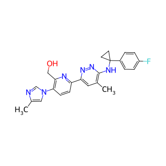 Cc1cn(-c2ccc(-c3cc(C)c(NC4(c5ccc(F)cc5)CC4)nn3)nc2CO)cn1